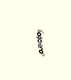 Bc1ccc(S(=O)(=O)N2CCN(c3nc(Cc4cccc(OC)c4)ns3)CC2)cc1